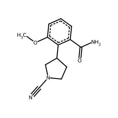 COc1cccc(C(N)=O)c1C1CCN(C#N)C1